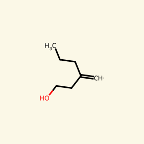 [CH]=C(CCC)CCO